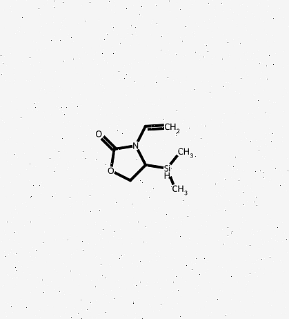 C=CN1C(=O)OCC1[SiH](C)C